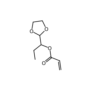 C=CC(=O)OC(CC)C1OCCO1